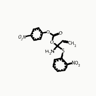 C=CC(N)(OC(=O)Oc1ccc([N+](=O)[O-])cc1)Sc1ccccc1[N+](=O)[O-]